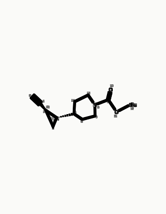 C#C[C@@H]1C[C@H]1C1CCN(C(=O)OC(C)(C)C)CC1